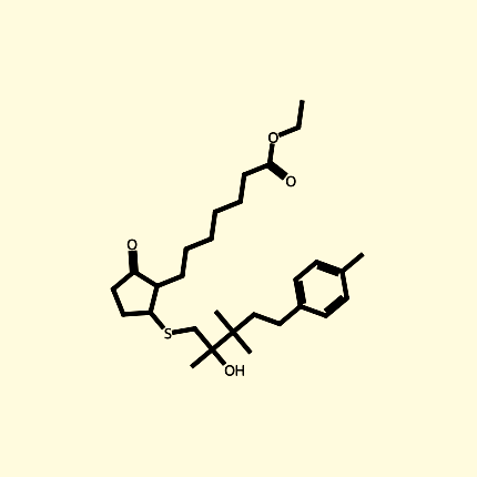 CCOC(=O)CCCCCCC1C(=O)CCC1SCC(C)(O)C(C)(C)CCc1ccc(C)cc1